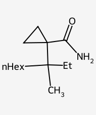 CCCCCCC(C)(CC)C1(C(N)=O)CC1